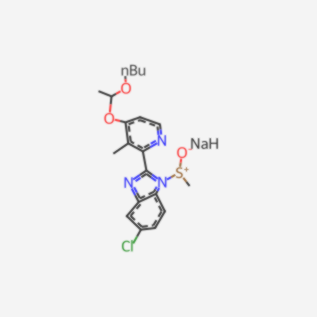 CCCCOC(C)Oc1ccnc(-c2nc3cc(Cl)ccc3n2[S+](C)[O-])c1C.[NaH]